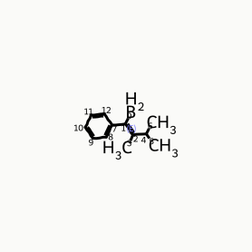 B/C(=C(/C)C(C)C)c1ccccc1